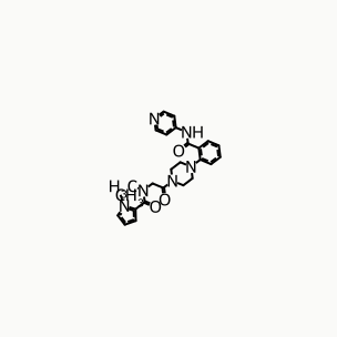 CN(CC(=O)N1CCN(c2ccccc2C(=O)Nc2ccncc2)CC1)C(=O)c1cccn1C